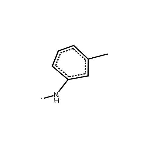 [CH2]Nc1cccc(C)c1